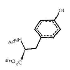 CCOC(=O)[C@H](Cc1ccc(C#N)cc1)NC(C)=O